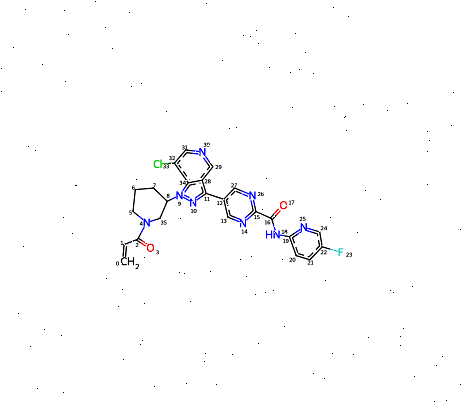 C=CC(=O)N1CCCC(n2nc(-c3cnc(C(=O)Nc4ccc(F)cn4)nc3)c3cncc(Cl)c32)C1